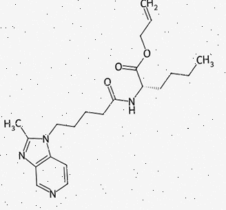 C=CCOC(=O)[C@H](CCCC)NC(=O)CCCCn1c(C)nc2cnccc21